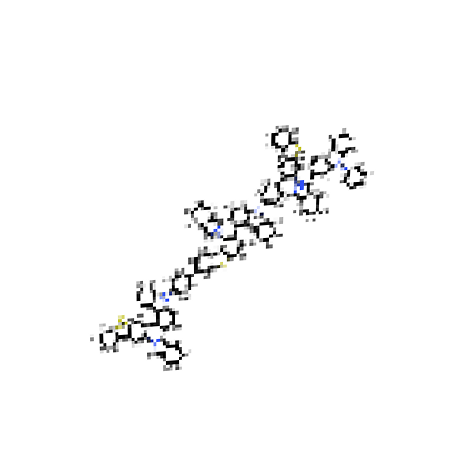 c1ccc(-n2c3ccccc3c3cc4c(cc32)c2c3ccccc3cn2c2c(-c3ccc(-n5c6ccccc6c6c7c(ccc65)c5c6ccccc6cn5c5c7ccc6sc7cc(-c8ccc(-n9c%10ccccc%10c%10c%11c%12cc%13sc%14ccccc%14c%13cc%12n%12cc%13ccccc%13c%12c%11ccc%109)cc8)ccc7c65)cc3)cc3c5ccccc5sc3c42)cc1